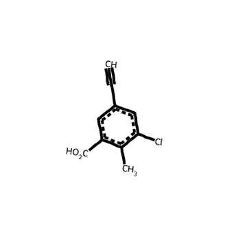 C#Cc1cc(Cl)c(C)c(C(=O)O)c1